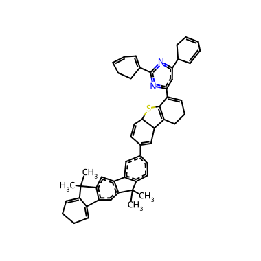 CC1(C)C2=CCCC=C2c2cc3c(cc21)-c1cc(C2=CC4C5=C(SC4C=C2)C(c2cc(C4C=CC=CC4)nc(C4=CC=CCC4)n2)=CCC5)ccc1C3(C)C